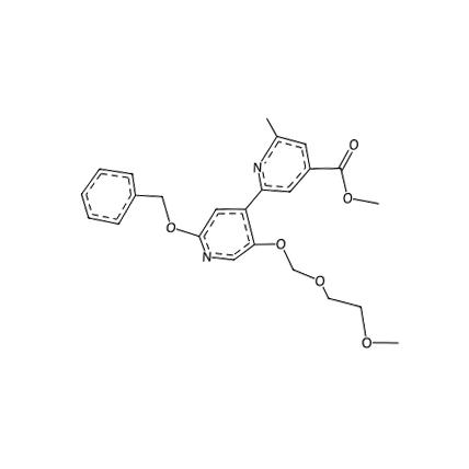 COCCOCOc1cnc(OCc2ccccc2)cc1-c1cc(C(=O)OC)cc(C)n1